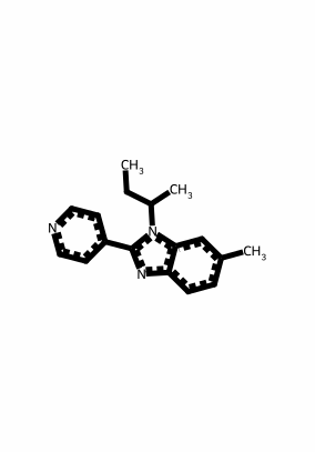 CCC(C)n1c(-c2ccncc2)nc2ccc(C)cc21